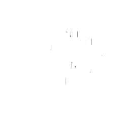 C#Cc1ccc(-c2nc(C(=O)OC)c(Cl)c(N)c2F)c(F)c1